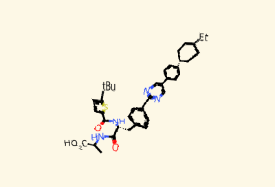 CC[C@H]1CC[C@H](c2ccc(-c3cnc(-c4ccc(C[C@@H](NC(=O)c5ccc(C(C)(C)C)s5)C(=O)N[C@@H](C)C(=O)O)cc4)nc3)cc2)CC1